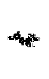 CCCC(CC)(CCOC(=O)O)C1=NN(c2cccc(O)c2)CC1